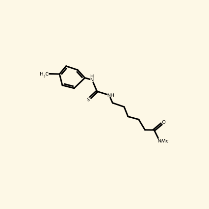 CNC(=O)CCCCCNC(=S)Nc1ccc(C)cc1